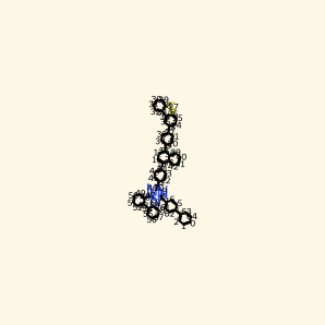 c1ccc(-c2ccc(-c3nc(-c4ccc(-c5ccc(-c6ccc(-c7ccc8sc9ccccc9c8c7)cc6)c6ccccc56)cc4)nc(-c4ccccc4-c4ccccc4)n3)cc2)cc1